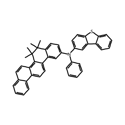 CC1(C)c2ccc(N(c3ccccc3)c3ccc4sc5ccccc5c4c3)cc2-c2ccc3c(ccc4ccccc43)c2C1(C)C